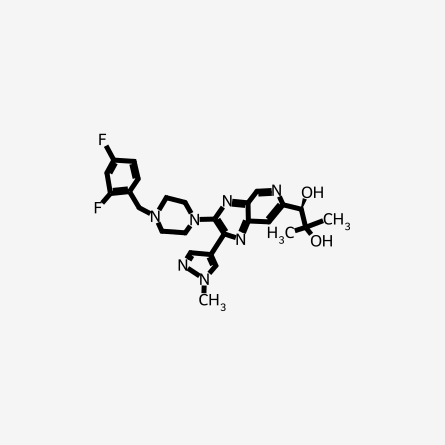 Cn1cc(-c2nc3cc([C@@H](O)C(C)(C)O)ncc3nc2N2CCN(Cc3ccc(F)cc3F)CC2)cn1